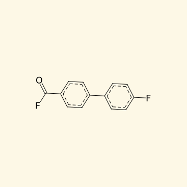 O=C(F)c1ccc(-c2ccc(F)cc2)cc1